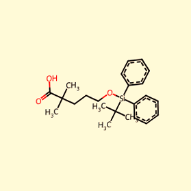 CC(C)(CCCO[Si](c1ccccc1)(c1ccccc1)C(C)(C)C)C(=O)O